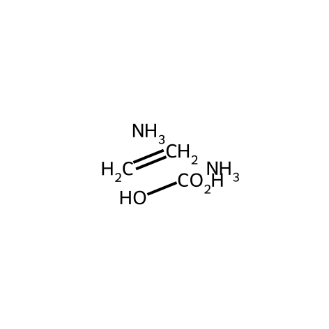 C=C.N.N.O=C(O)O